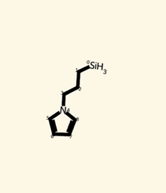 [SiH3]CCCn1cccc1